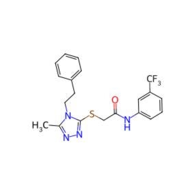 Cc1nnc(SCC(=O)Nc2cccc(C(F)(F)F)c2)n1CCc1ccccc1